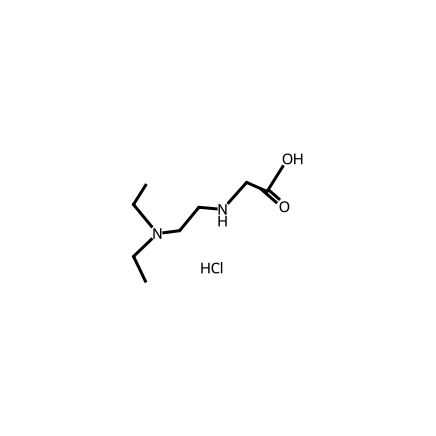 CCN(CC)CCNCC(=O)O.Cl